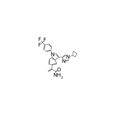 C=C(C(N)=O)c1ccc2c(c1)c(-c1cn(C3CCC3)cn1)cn2-c1ccc(C(F)(F)F)cc1